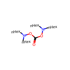 CCCCCCN(CCCCCC)OC(=O)ON(CCCCCC)CCCCCC